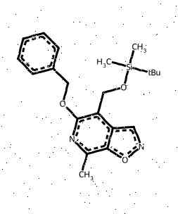 Cc1nc(OCc2ccccc2)c(CO[Si](C)(C)C(C)(C)C)c2cnoc12